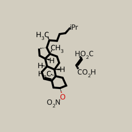 CC(C)CCC[C@@H](C)[C@H]1CC[C@H]2[C@@H]3CC=C4C[C@@H](O[N+](=O)[O-])CC[C@]4(C)[C@H]3CC[C@]12C.O=C(O)C=CC(=O)O